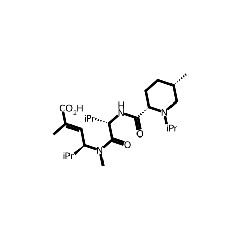 C/C(=C\[C@H](C(C)C)N(C)C(=O)[C@@H](NC(=O)[C@@H]1CC[C@H](C)CN1C(C)C)C(C)C)C(=O)O